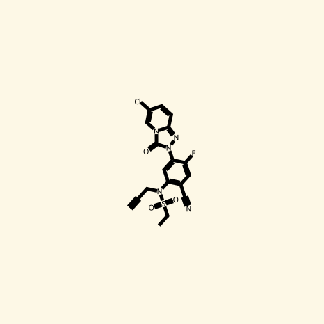 C#CCN(c1cc(-n2nc3ccc(Cl)cn3c2=O)c(F)cc1C#N)S(=O)(=O)CC